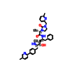 Cc1ccc(-c2ccc(C[C@H](NC(=O)O)[C@@H](O)C[C@H](Cc3ccccc3)NC(=O)[C@@H](N3CCN(Cc4cccc(C)n4)C3=O)C(C)(C)C)cc2)nc1